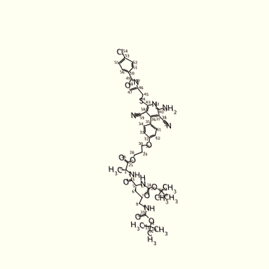 C[C@H](NC(=O)[C@H](CCCNC(=O)OC(C)(C)C)NC(=O)OC(C)(C)C)C(=O)OC[CH]COc1ccc(-c2c(C#N)c(N)nc(SCc3coc(-c4ccc(Cl)cc4)n3)c2C#N)cc1